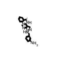 C[C@H](Nc1ncnc2c1cnn2NCc1cccc(N)c1)c1ccccc1